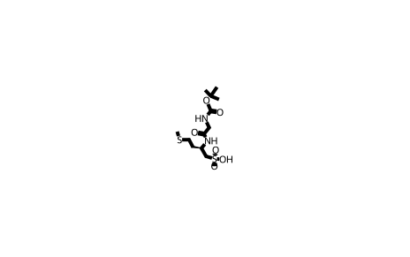 CSCC[C@H](CS(=O)(=O)O)NC(=O)CNC(=O)OC(C)(C)C